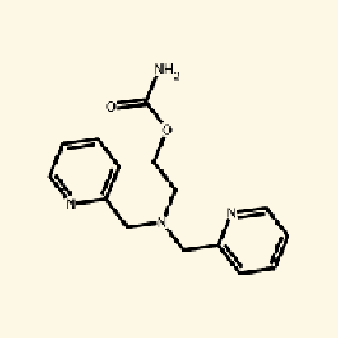 NC(=O)OCCN(Cc1ccccn1)Cc1ccccn1